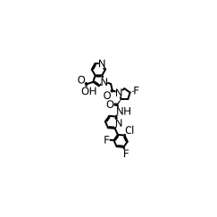 O=C(O)c1cn(CC(=O)N2C[C@H](F)C[C@H]2C(=O)Nc2cccc(-c3c(F)cc(F)cc3Cl)n2)c2cnccc12